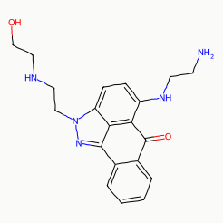 NCCNc1ccc2c3c(nn2CCNCCO)-c2ccccc2C(=O)c13